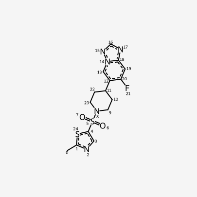 Cc1ncc(S(=O)(=O)N2CCC(c3cn4ncnc4cc3F)CC2)s1